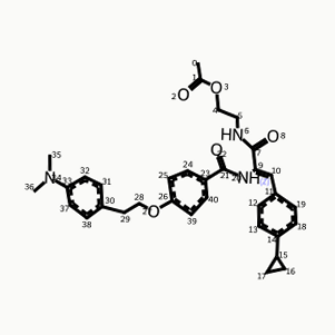 CC(=O)OCCNC(=O)/C(=C/c1ccc(C2CC2)cc1)NC(=O)c1ccc(OCCc2ccc(N(C)C)cc2)cc1